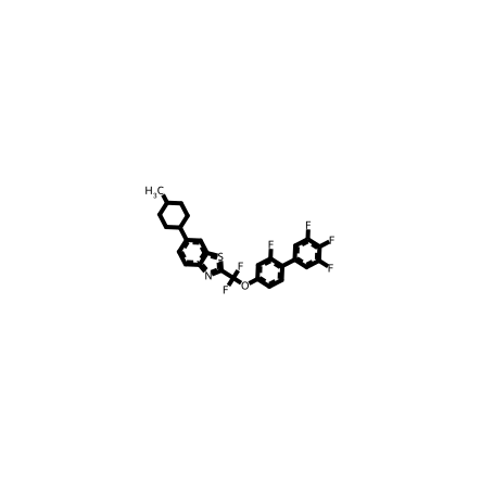 CC1CCC(c2ccc3nc(C(F)(F)Oc4ccc(-c5cc(F)c(F)c(F)c5)c(F)c4)sc3c2)CC1